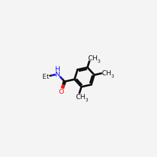 CCNC(=O)c1cc(C)c(C)cc1C